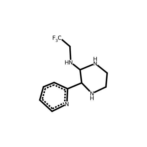 FC(F)(F)CNC1NCCNC1c1ccccn1